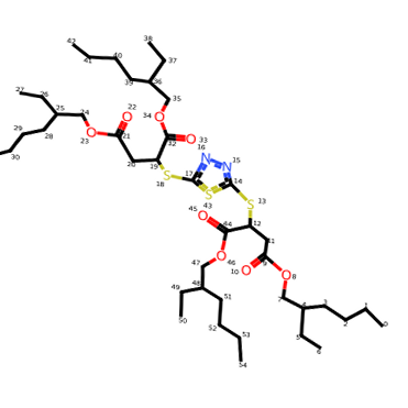 CCCCC(CC)COC(=O)CC(Sc1nnc(SC(CC(=O)OCC(CC)CCCC)C(=O)OCC(CC)CCCC)s1)C(=O)OCC(CC)CCCC